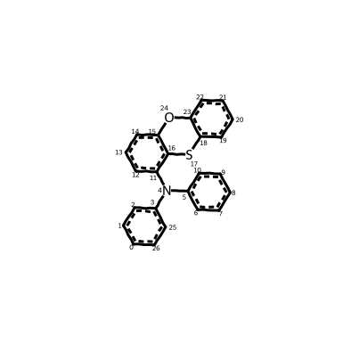 c1ccc(N(c2ccccc2)c2cccc3c2Sc2ccccc2O3)cc1